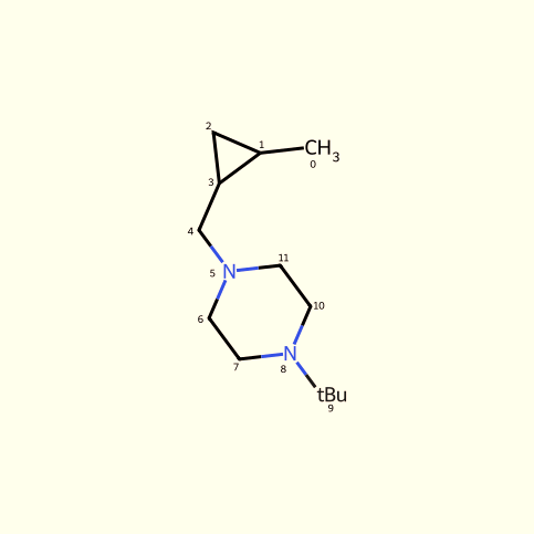 CC1CC1CN1CCN(C(C)(C)C)CC1